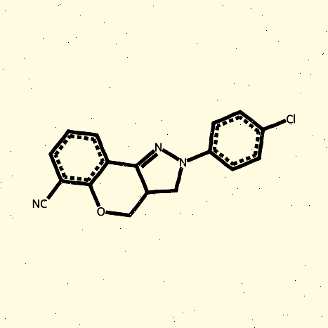 N#Cc1cccc2c1OCC1CN(c3ccc(Cl)cc3)N=C21